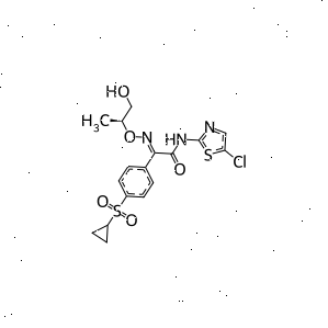 C[C@@H](CO)O/N=C(/C(=O)Nc1ncc(Cl)s1)c1ccc(S(=O)(=O)C2CC2)cc1